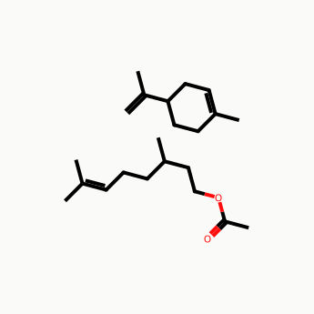 C=C(C)C1CC=C(C)CC1.CC(=O)OCCC(C)CCC=C(C)C